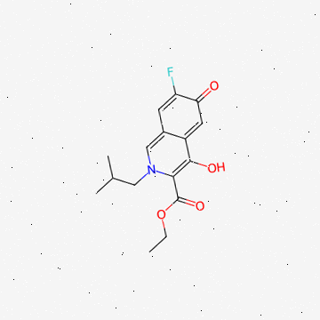 CCOC(=O)c1c(O)c2cc(=O)c(F)cc-2cn1CC(C)C